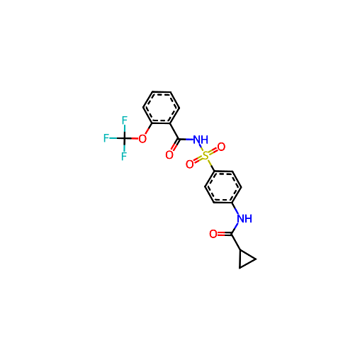 O=C(NS(=O)(=O)c1ccc(NC(=O)C2CC2)cc1)c1ccccc1OC(F)(F)F